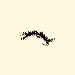 O=C(Nc1ccc2[nH]c(-c3ccc(N(CCO)CCO)cc3)nc2c1)c1ccc2nc(-c3ccc(N(CCO)CCO)cc3)[nH]c2c1